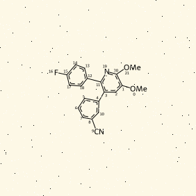 COc1cc(-c2cccc(C#N)c2)c(-c2ccc(F)cc2)nc1OC